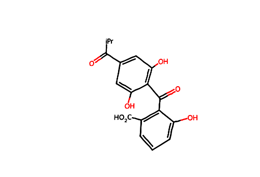 CC(C)C(=O)c1cc(O)c(C(=O)c2c(O)cccc2C(=O)O)c(O)c1